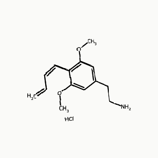 C=C/C=C\c1c(OC)cc(CCN)cc1OC.Cl